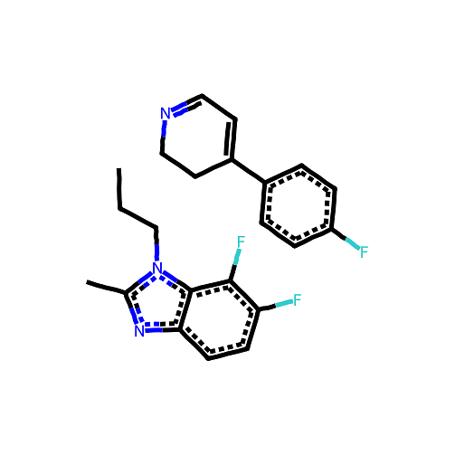 CCCn1c(C)nc2ccc(F)c(F)c21.Fc1ccc(C2=CC=NCC2)cc1